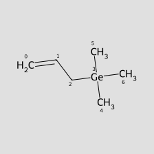 C=C[CH2][Ge]([CH3])([CH3])[CH3]